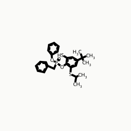 CC(C)Sc1cc(C(C)(C)C)cc(S)c1OP(=O)(Cc1ccccc1)Oc1ccccc1